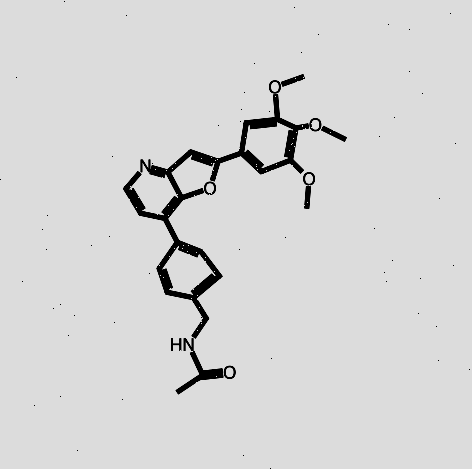 COc1cc(-c2cc3nccc(-c4ccc(CNC(C)=O)cc4)c3o2)cc(OC)c1OC